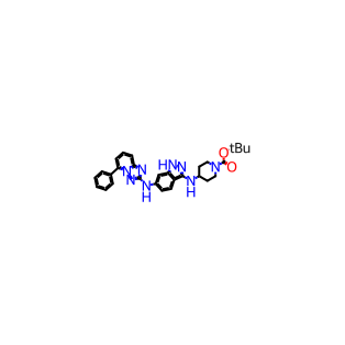 CC(C)(C)OC(=O)N1CCC(Nc2n[nH]c3cc(Nc4nc5cccc(-c6ccccc6)n5n4)ccc23)CC1